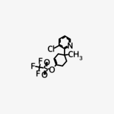 CC1(c2ncccc2Cl)CC=C(OS(=O)(=O)C(F)(F)F)CC1